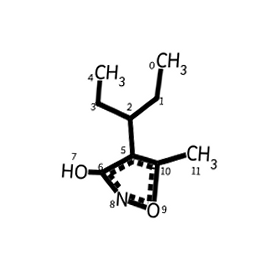 CCC(CC)c1c(O)noc1C